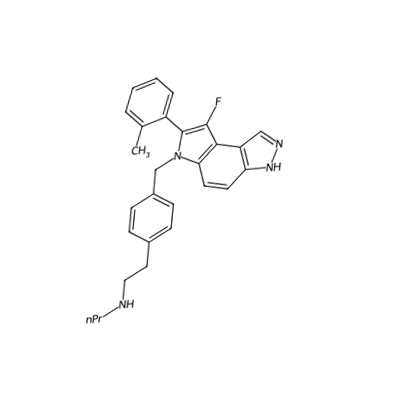 CCCNCCc1ccc(Cn2c(-c3ccccc3C)c(F)c3c4cn[nH]c4ccc32)cc1